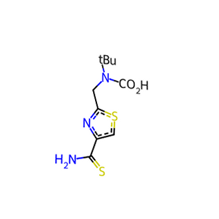 CC(C)(C)N(Cc1nc(C(N)=S)cs1)C(=O)O